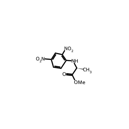 COC(=O)[C@@H](C)Nc1ccc([N+](=O)[O-])cc1[N+](=O)[O-]